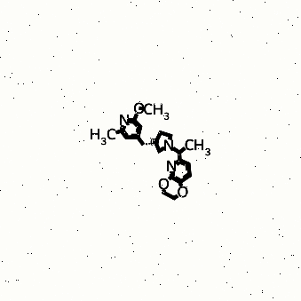 COc1cc(C[C@@H]2CCN(C(C)c3ccc4c(n3)OCCO4)C2)cc(C)n1